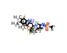 Cc1c(F)cc([C@@]2(C)O[C@](C)(C(F)(F)F)[C@H](N3Cc4nn(S(=O)(=O)C5CC5)cc4C3C)C[C@]2(C)N)c(F)c1C